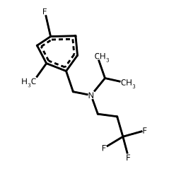 Cc1cc(F)ccc1CN(CCC(F)(F)F)C(C)C